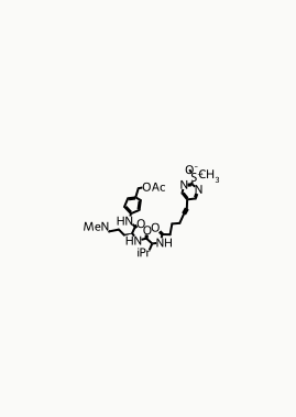 CNCCC[C@H](NC(=O)C(NC(=O)CCCC#Cc1cnc([S+](C)[O-])nc1)C(C)C)C(=O)Nc1ccc(COC(C)=O)cc1